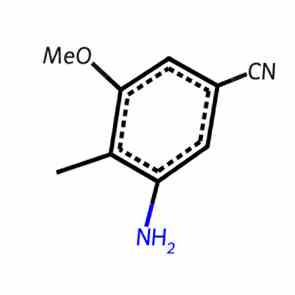 COc1cc(C#N)cc(N)c1C